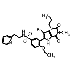 CCCn1c(=O)n(C)c(=O)c2[nH]c(-c3cc(S(=O)(=O)NCCc4ccccn4)ccc3OCC)c(Br)c21